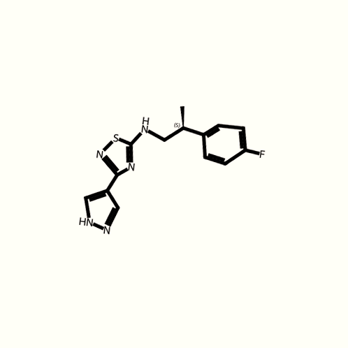 C[C@H](CNc1nc(-c2cn[nH]c2)ns1)c1ccc(F)cc1